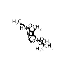 C=CCNC(=O)c1nn2c(c1C=C)CN(C(=O)OC(C)(C)C)CCC2